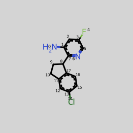 Nc1cc(F)cnc1C1CCc2cc(Cl)ccc21